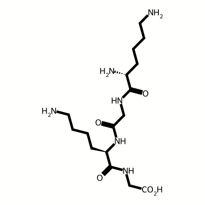 NCCCC[C@@H](N)C(=O)NCC(=O)N[C@H](CCCCN)C(=O)NCC(=O)O